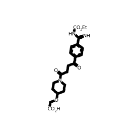 CCOC(=O)NC(=N)c1ccc(C(=O)CCC(=O)N2CCC(OCC(=O)O)CC2)cc1